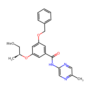 COC[C@H](C)Oc1cc(OCc2ccccc2)cc(C(=O)Nc2cnc(C)cn2)c1